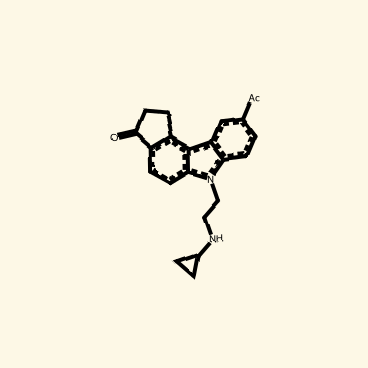 CC(=O)c1ccc2c(c1)c1c3c(ccc1n2CCNC1CC1)C(=O)CC3